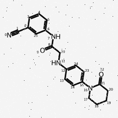 N#Cc1cccc(NC(=O)CNc2ccc(N3CCCCC3=O)cc2)c1